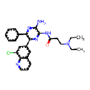 CCN(CC)CCC(=O)Nc1nc(-c2cc(Cl)c3ncccc3c2)c(-c2ccccc2)nc1N